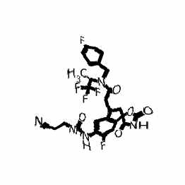 C[C@H](N(Cc1ccc(F)cc1)C(=O)CC1CC2(OC(=O)NC2=O)c2cc(F)c(NC(=O)NCCC#N)cc21)C(F)(F)F